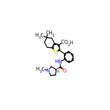 CN1CC[C@H](C(=O)Nc2ccccc2-c2sc3c(c2C(=O)O)CC(C)(C)CC3)C1